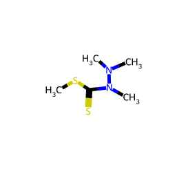 CSC(=S)N(C)N(C)C